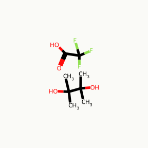 CC(C)(O)C(C)(C)O.O=C(O)C(F)(F)F